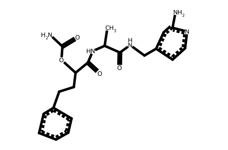 CC(NC(=O)C(CCc1ccccc1)OC(N)=O)C(=O)NCc1ccnc(N)c1